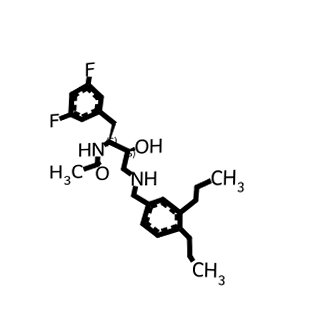 CCCc1ccc(CNC[C@H](O)[C@H](Cc2cc(F)cc(F)c2)NC(C)=O)cc1CCC